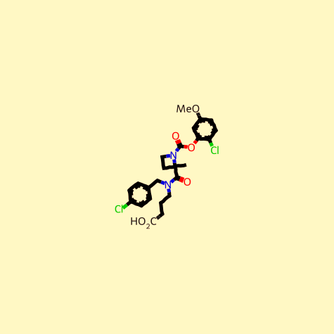 COc1ccc(Cl)c(OC(=O)N2CCC2(C)C(=O)N(CCCC(=O)O)Cc2ccc(Cl)cc2)c1